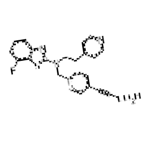 O=C(O)C#Cc1ccc(CN(CCc2ccncc2)c2nc3cccc(F)c3s2)cc1